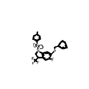 Cc1ccc(S(=O)(=O)N2CC(C(F)(F)F)c3cc(F)c(SCc4ccccc4)cc32)cc1